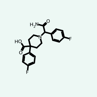 NC(=O)C(c1ccc(F)cc1)N1CCC(C(=O)O)(c2ccc(F)cc2)CC1